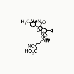 CNC(=O)c1c(-c2ccc(C)cc2)oc2nc(CS(=O)(=O)NCCCC(C#N)CC(=O)O)c(C3CC3)cc12